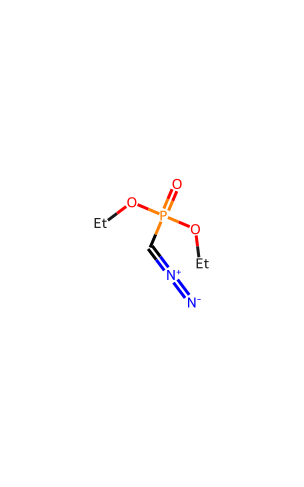 CCOP(=O)(C=[N+]=[N-])OCC